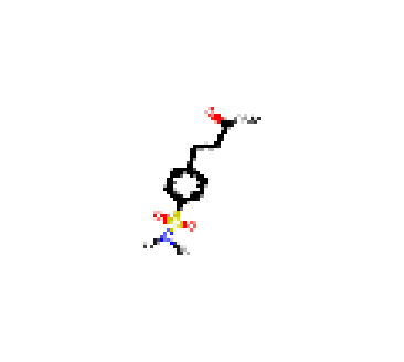 CCN(CC)S(=O)(=O)c1ccc(CCC(=O)OC)cc1